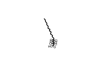 CCCCCCCCCCCCCCC(Cl)(Cl)C(Cl)(Cl)C(Cl)(Cl)C(=O)O